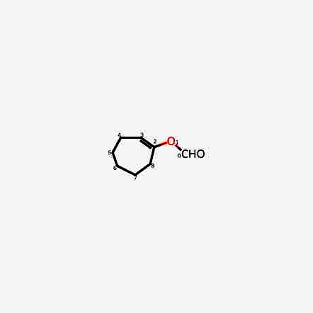 O=COC1=CCCCCC1